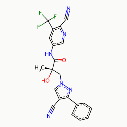 C[C@](O)(Cn1cc(C#N)c(-c2ccccc2)n1)C(=O)Nc1cnc(C#N)c(C(F)(F)F)c1